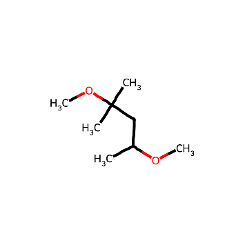 COC(C)CC(C)(C)OC